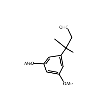 COc1cc(OC)cc(C(C)(C)CC=O)c1